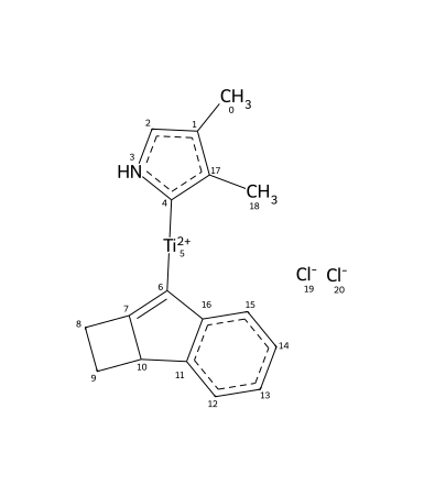 Cc1c[nH][c]([Ti+2][C]2=C3CCC3c3ccccc32)c1C.[Cl-].[Cl-]